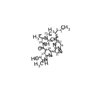 C=C/C=C\SCc1ccn2ncc(-c3cc(C(=O)NCC(C)N(CC)CC)cc(NC(C)CO)n3)c2n1